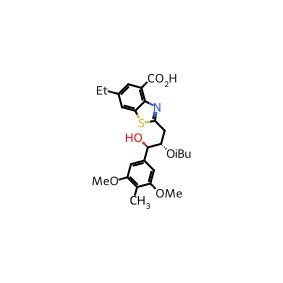 CCc1cc(C(=O)O)c2nc(C[C@H](OCC(C)C)[C@H](O)c3cc(OC)c(C)c(OC)c3)sc2c1